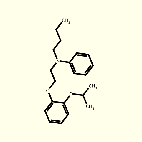 CCCCN(CCOc1ccccc1OC(C)C)c1ccccc1